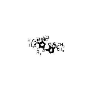 CC1=[C]([Zr][C]2=C(C)C([Si](C)(C)C)=CC2)CC=C1[Si](C)(C)C.Cl.Cl